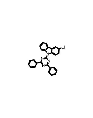 Clc1ccc2c(c1)c1ccccc1n2-c1nc(-c2ccccc2)nc(-c2ccccc2)n1